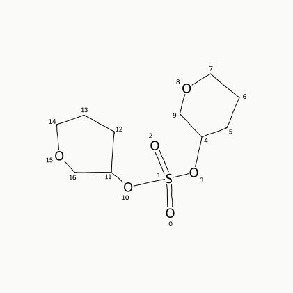 O=S(=O)(OC1CCCOC1)OC1CCCOC1